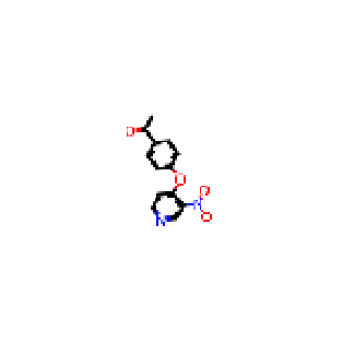 CC(=O)c1ccc(Oc2ccncc2[N+](=O)[O-])cc1